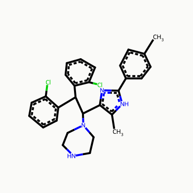 Cc1ccc(-c2nc(C(C(c3ccccc3Cl)c3ccccc3Cl)N3CCNCC3)c(C)[nH]2)cc1